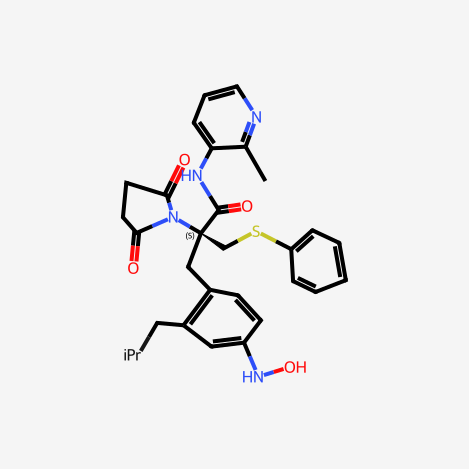 Cc1ncccc1NC(=O)[C@](CSc1ccccc1)(Cc1ccc(NO)cc1CC(C)C)N1C(=O)CCC1=O